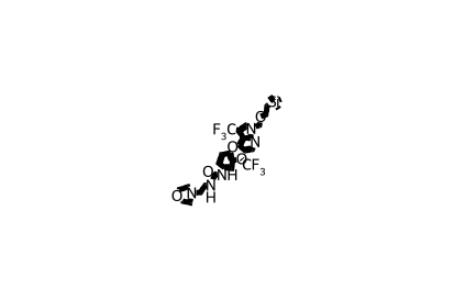 C[Si](C)(C)CCOCn1cc(C(F)(F)F)c2c(Oc3ccc(NC(=O)NCCN4CCOCC4)cc3OC(F)(F)F)ccnc21